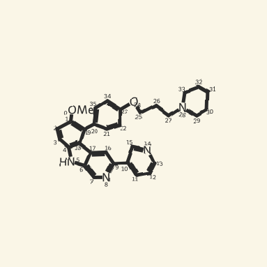 COc1ccc2[nH]c3cnc(-c4cccnc4)cc3c2c1-c1ccc(OCCCN2CCCCC2)cc1